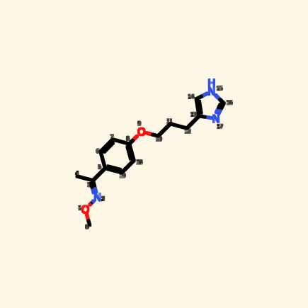 CON=C(C)c1ccc(OCCCc2c[nH]cn2)cc1